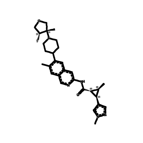 Cc1cc2cnc(NC(=O)[C@@H]3[C@@H](C)[C@H]3c3cnn(C)c3)cc2cc1C1CCN([C@@]2(C)COC[C@H]2F)CC1